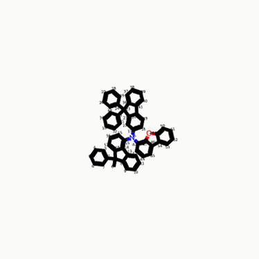 CC1(c2ccccc2)c2ccccc2-c2c(N(c3ccc4c(c3)C(c3ccccc3)(c3ccccc3)c3ccccc3-4)c3cccc4c3oc3ccccc34)cccc21